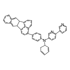 C1=CCC(N(c2ccc(-c3ccc4c5c(cccc35)C3C=c5ccccc5=CC43)cc2)c2ccc(-c3cccnc3)nc2)C=C1